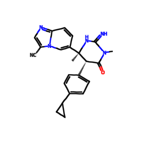 CN1C(=N)N[C@](C)(c2ccc3ncc(C#N)n3c2)[C@@H](c2ccc(C3CC3)cc2)C1=O